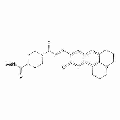 CNC(=O)C1CCN(C(=O)/C=C/c2cc3cc4c5c(c3oc2=O)CCCN5CCC4)CC1